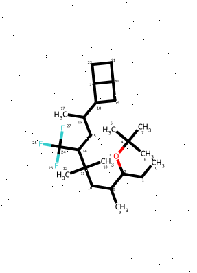 CCC(OC(C)(C)C)C(C)CC(C)(C)C(CC(C)C1CC2CCC21)C(F)(F)F